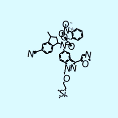 CC1CC(N(c2ccc3c(c2)c(-c2cnco2)nn3COCC[Si](C)(C)C)S(=O)(=O)c2ccccc2[N+](=O)[O-])c2ccc(C#N)cc21